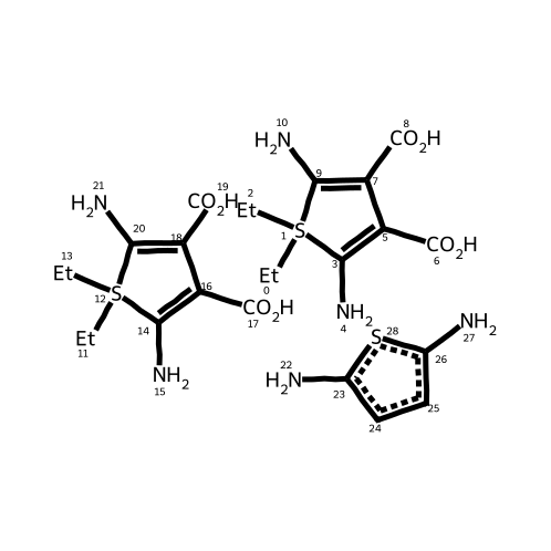 CCS1(CC)C(N)=C(C(=O)O)C(C(=O)O)=C1N.CCS1(CC)C(N)=C(C(=O)O)C(C(=O)O)=C1N.Nc1ccc(N)s1